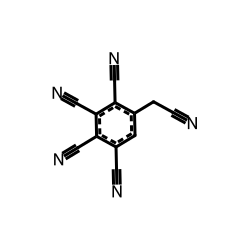 N#CCc1cc(C#N)c(C#N)c(C#N)c1C#N